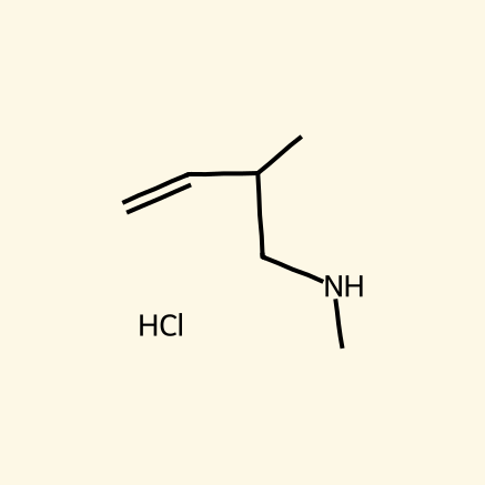 C=CC(C)CNC.Cl